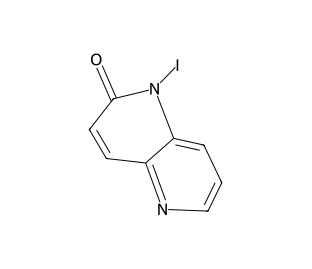 O=c1ccc2ncccc2n1I